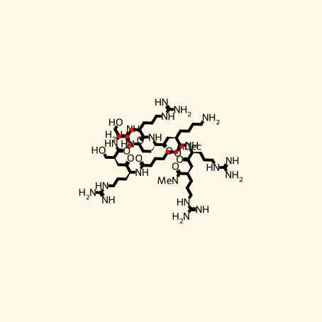 CCCCCCCCCCCCCCCC(=O)N[C@@H](CCCNC(=N)N)C(=O)C[C@@H](CO)C(=O)NC(CO)C(=O)CC(CCCNC(=N)N)C(=O)N[C@@H](CCCNC(=N)N)C(=O)C[C@@H](CCCCN)C(=O)N[C@@H](CCCNC(=N)N)C(=O)C[C@@H](CCCNC(=N)N)C(=O)NC